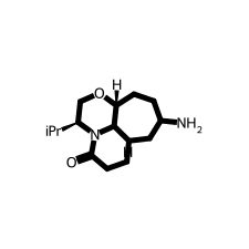 CC(C)[C@H]1CO[C@@H]2CCC(N)C[C@H]3CCC(=O)N1C32